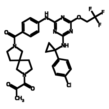 CC(=O)C(=O)N1CCC2(CCN(C(=O)c3ccc(Nc4nc(NC5(c6ccc(Cl)cc6)CC5)nc(OCC(F)(F)F)n4)cc3)C2)C1